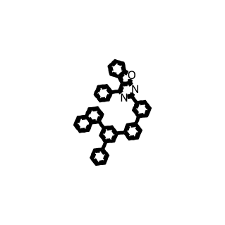 c1ccc(-c2cc(-c3cccc(-c4cccc(-c5nc(-c6ccccc6)c6c(n5)oc5ccccc56)c4)c3)cc(-c3cccc4ccccc34)c2)cc1